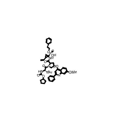 C=CC1CC1(NC(=O)C1C[C@@H](Oc2cc(-c3ccccc3)nc3cc(OC)ccc23)CN1C(=O)[C@@H](NC(=O)OC1CCCC1)C(C)(C)C)P(=O)(O)OCCc1ccccc1